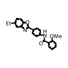 CCc1ccc2oc(-c3ccc(NC(=O)c4ccccc4OC)cc3)nc2c1